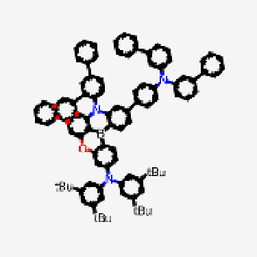 CC(C)(C)c1cc(N(c2cc(C(C)(C)C)cc(C(C)(C)C)c2)c2ccc3c(c2)Oc2cc(-c4ccccc4)cc4c2B3c2ccc(-c3ccc(N(c5cccc(-c6ccccc6)c5)c5cccc(-c6ccccc6)c5)cc3)cc2N4c2ccc(-c3ccccc3)cc2-c2ccccc2)cc(C(C)(C)C)c1